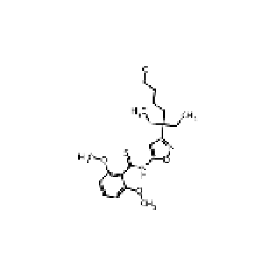 CCC(CC)(CCCCCl)c1cc(NC(=S)c2c(OC)cccc2OC)on1